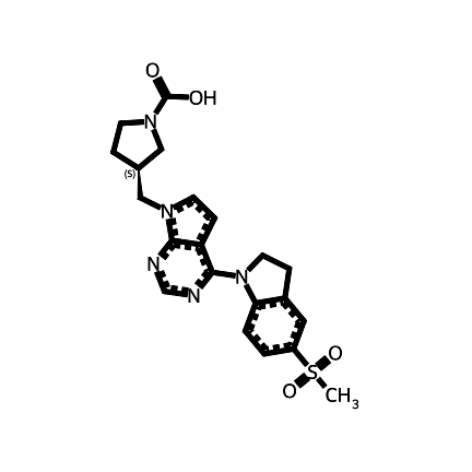 CS(=O)(=O)c1ccc2c(c1)CCN2c1ncnc2c1ccn2C[C@H]1CCN(C(=O)O)C1